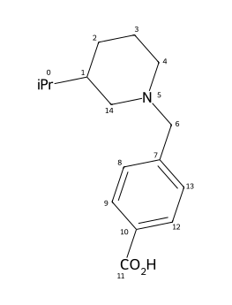 CC(C)C1CCCN(Cc2ccc(C(=O)O)cc2)C1